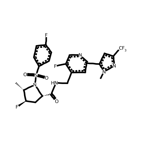 C[C@H]1[C@H](F)C[C@@H](C(=O)NCc2cc(-c3cc(C(F)(F)F)nn3C)ncc2F)N1S(=O)(=O)c1ccc(F)cc1